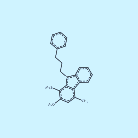 CSc1c(OC(C)=O)cc(C)c2c3ccccc3n(CCCc3ccccc3)c12